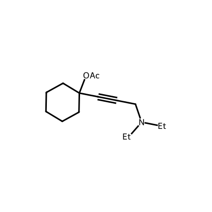 CCN(CC)CC#CC1(OC(C)=O)CCCCC1